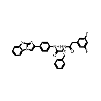 O=C(Cc1cc(F)cc(F)c1)N[C@H](Cc1ccccc1)C(=O)Nc1ccc(-c2cn3c(n2)sc2ccccc23)cc1